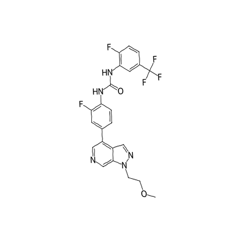 COCCn1ncc2c(-c3ccc(NC(=O)Nc4cc(C(F)(F)F)ccc4F)c(F)c3)cncc21